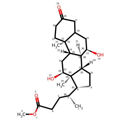 COC(=O)CC[C@@H](C)[C@H]1CC[C@H]2[C@@H]3[C@H](O)CC4CC(=O)CC[C@]4(C)[C@H]3C[C@H](O)[C@]12C